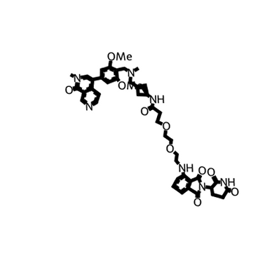 COc1cc(-c2cn(C)c(=O)c3cnccc23)cc(OC)c1CN(C)CC12CC(NC(=O)CCOCCOCCNc3cccc4c3C(=O)N(C3CCC(=O)NC3=O)C4=O)(C1)C2